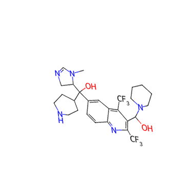 CN1C=NCC1C(O)(c1ccc2nc(C(F)(F)F)c(C(O)N3CCCCC3)c(C(F)(F)F)c2c1)C1CCNCC1